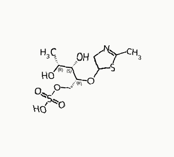 CC1=NCC(O[C@H](COS(=O)(=O)O)[C@@H](O)[C@@H](C)O)S1